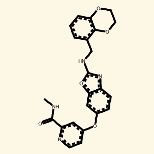 CNC(=O)c1cc(Oc2ccc3nc(NCc4cccc5c4OCCO5)oc3c2)ccn1